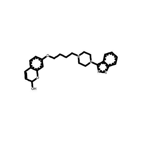 OC1C=Cc2ccc(OCCCCN3CCN(c4nsc5ccccc45)CC3)cc2O1